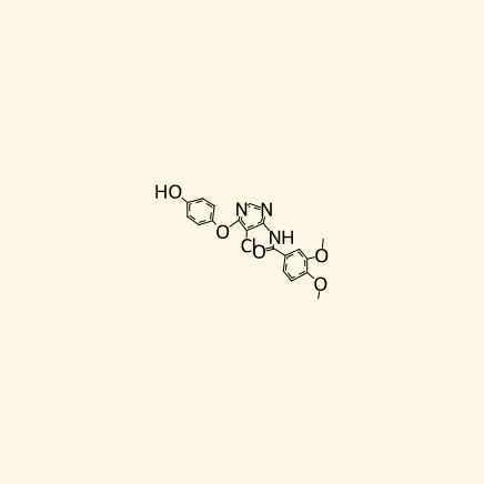 COc1ccc(C(=O)Nc2ncnc(Oc3ccc(O)cc3)c2Cl)cc1OC